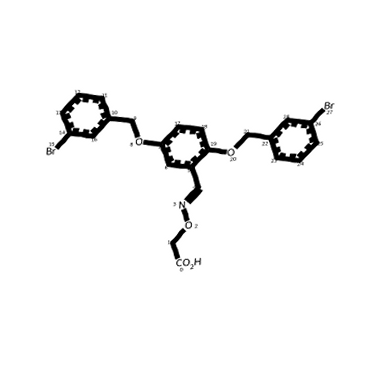 O=C(O)CO/N=C/c1cc(OCc2cccc(Br)c2)ccc1OCc1cccc(Br)c1